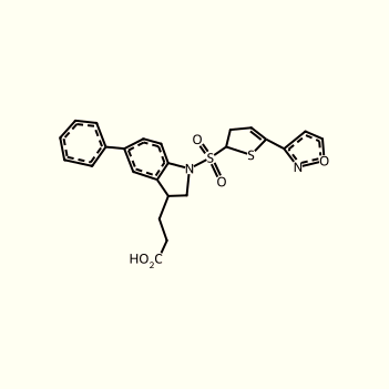 O=C(O)CCC1CN(S(=O)(=O)C2CC=C(c3ccon3)S2)c2ccc(-c3ccccc3)cc21